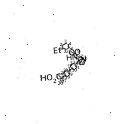 CCc1cccc(COC(=O)Nc2cnoc2-c2ccc(-c3ccc(C4(C(=O)O)CC4)cc3)cc2)c1